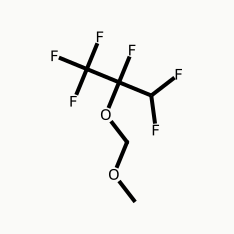 COCOC(F)(C(F)F)C(F)(F)F